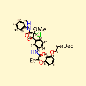 CCCCCCCCCCCCOc1cccc(OC(CC)C(=O)Nc2cccc(C(=O)C(Cl)(OC)C(=O)Nc3ccccc3)c2)c1